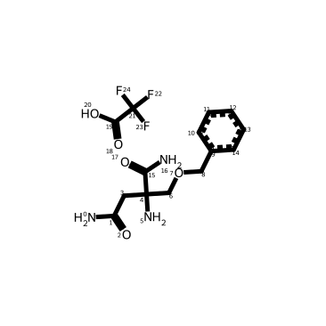 NC(=O)CC(N)(COCc1ccccc1)C(N)=O.O=C(O)C(F)(F)F